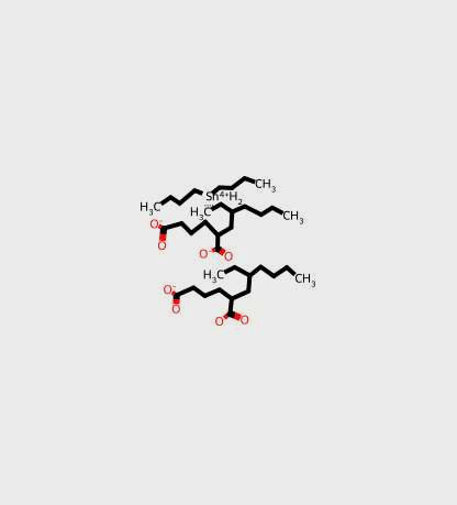 CCCCC(CC)CC(CCCC(=O)[O-])C(=O)[O-].CCCCC(CC)CC(CCCC(=O)[O-])C(=O)[O-].CCC[CH2][SnH2+4][CH2]CCC